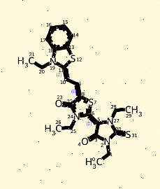 CCN1C(=O)/C(=c2/s/c(=C/C=C3\Sc4ccccc4N3CC)c(=O)n2CC)N(CC)C1=S